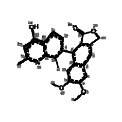 COc1cc2cc3c(c(-c4ccc5c(O)cc(C)nc5c4C)c2cc1OC)C(=O)OC3